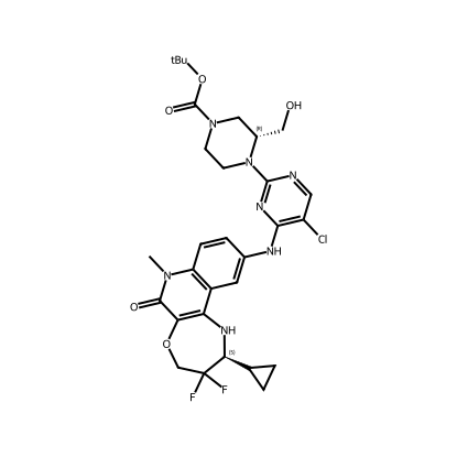 Cn1c(=O)c2c(c3cc(Nc4nc(N5CCN(C(=O)OC(C)(C)C)C[C@@H]5CO)ncc4Cl)ccc31)N[C@@H](C1CC1)C(F)(F)CO2